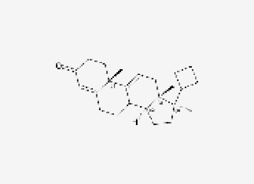 C[C@]12CCC(=O)C=C1CCC1C2=CC[C@@]2(C)[C@H]1CC[C@]2(C)C1CCC1